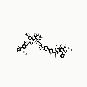 CC(=O)c1c(C)c2cnc(Nc3ccc(N4CCN(C(=O)COCC(=O)NC(C(=O)N5C[C@H](O)C[C@H]5C(=O)NCc5ccc(-c6scnc6C)cc5)C(C)(C)C)CC4)cn3)nc2n(C2CCCC2)c1=O